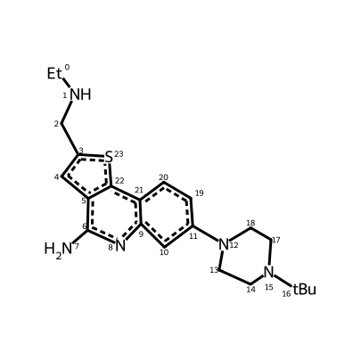 CCNCc1cc2c(N)nc3cc(N4CCN(C(C)(C)C)CC4)ccc3c2s1